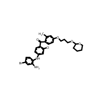 Cc1cc(OCCCOC2CCCCO2)ccc1C(=O)c1ccc(Nc2ccc(Br)cc2N)cc1Cl